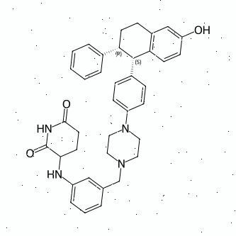 O=C1CCC(Nc2cccc(CN3CCN(c4ccc([C@H]5c6ccc(O)cc6CC[C@H]5c5ccccc5)cc4)CC3)c2)C(=O)N1